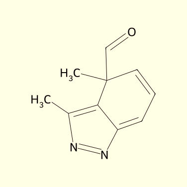 CC1=C2C(=CC=CC2(C)C=O)N=N1